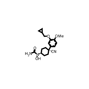 COc1ccc([C@]2(C#N)CC[C@H](N(O)C(N)=O)CC2)cc1OCC1CC1